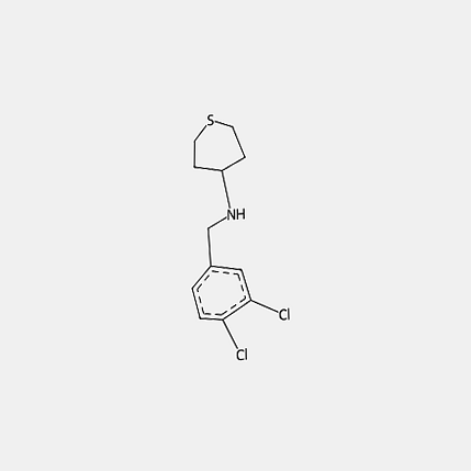 Clc1ccc(CNC2CCSCC2)cc1Cl